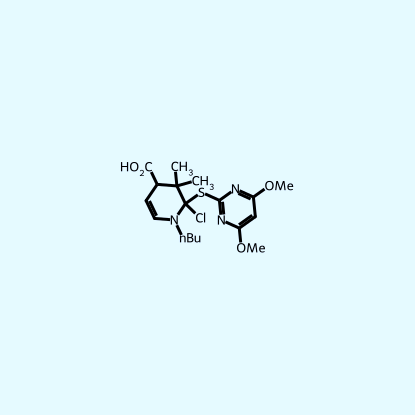 CCCCN1C=CC(C(=O)O)C(C)(C)C1(Cl)Sc1nc(OC)cc(OC)n1